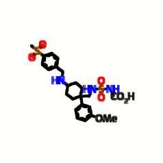 COc1cccc(C2(CNS(=O)(=O)NC(=O)O)CCC(NCc3ccc(S(C)(=O)=O)cc3)CC2)c1